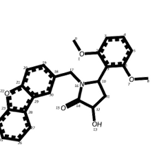 COc1cccc(OC)c1C1CC(O)C(=O)N1Cc1ccc2oc3ccccc3c2c1